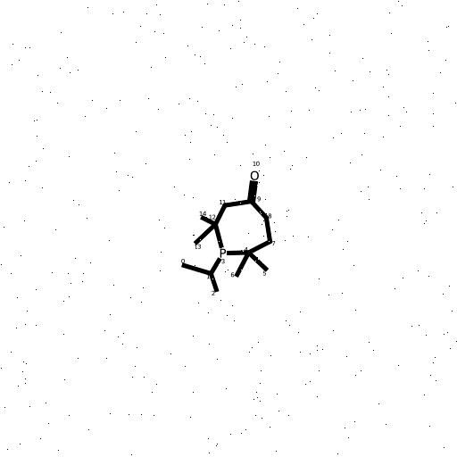 CC(C)P1C(C)(C)CCC(=O)CC1(C)C